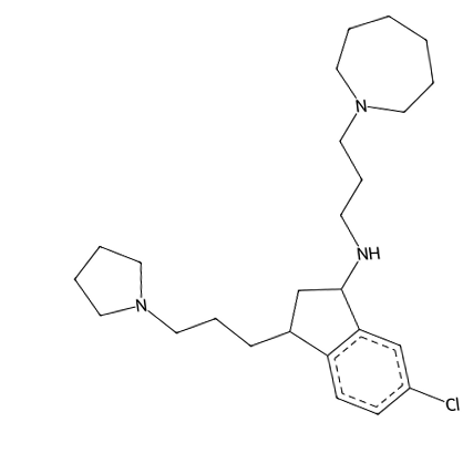 Clc1ccc2c(c1)C(NCCCN1CCCCCC1)CC2CCCN1CCCC1